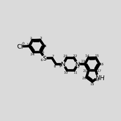 Clc1cccc(SCCN2CCN(c3cccc4[nH]ccc34)CC2)c1